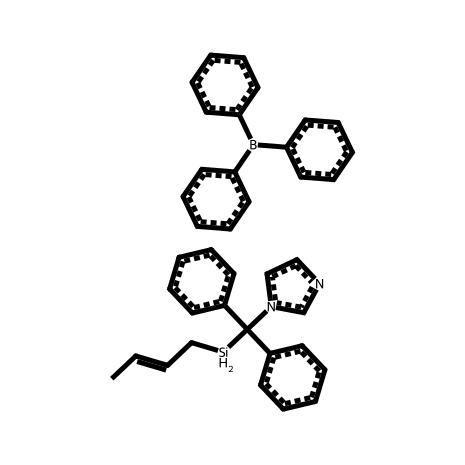 CC=CC[SiH2]C(c1ccccc1)(c1ccccc1)n1ccnc1.c1ccc(B(c2ccccc2)c2ccccc2)cc1